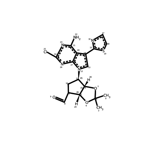 CC1(C)O[C@@H]2[C@H](O1)C(C=O)C[C@H]2n1cc(-c2nccs2)c2c(N)nc(Cl)nc21